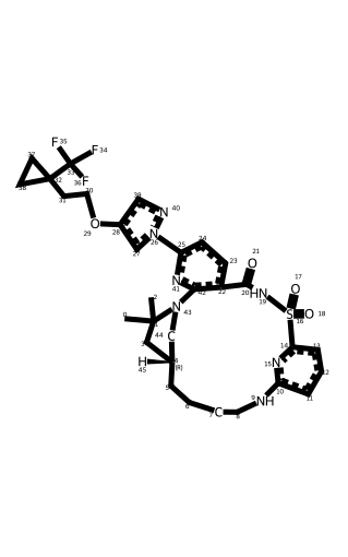 CC1(C)C[C@H]2CCCCNc3cccc(n3)S(=O)(=O)NC(=O)c3ccc(-n4cc(OCCC5(C(F)(F)F)CC5)cn4)nc3N1C2